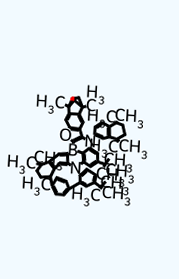 CC(C)(C)c1ccc2c(c1)-c1ccc(cc1)C1(C)CCC(C)(C)c3cc4c(cc31)N2c1cc(C(C)(C)C)cc2c1B4c1oc3cc4c(cc3c1N2c1ccc2c(c1)C(C)(C)CCC2(C)C)C1(C)CCC4(C)C1